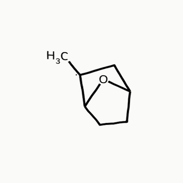 C[C]1CC2CCC1O2